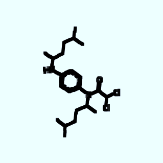 CC(C)CCC(C)Nc1ccc(N(C(=O)C(Cl)Cl)C(C)CCC(C)C)cc1